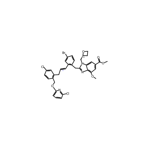 COC(=O)c1cc(OC)c2nc(Cc3ccc(Br)cc3/C=C/Cc3cc(Cl)ccc3COc3cccc(Cl)n3)n(C[C@@H]3CCO3)c2c1